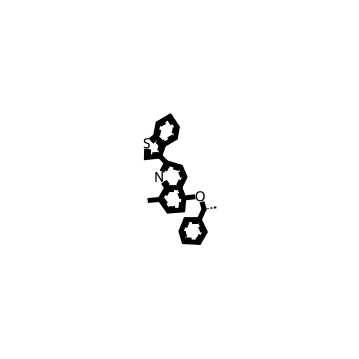 Cc1ccc(O[C@H](C)c2ccccc2)c2ccc(-c3csc4ccccc34)nc12